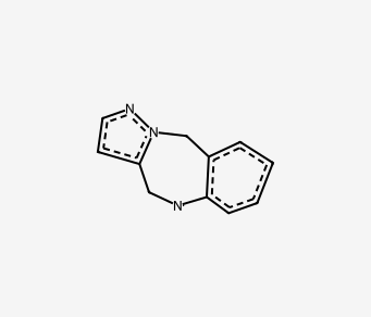 c1ccc2c(c1)Cn1nccc1C[N]2